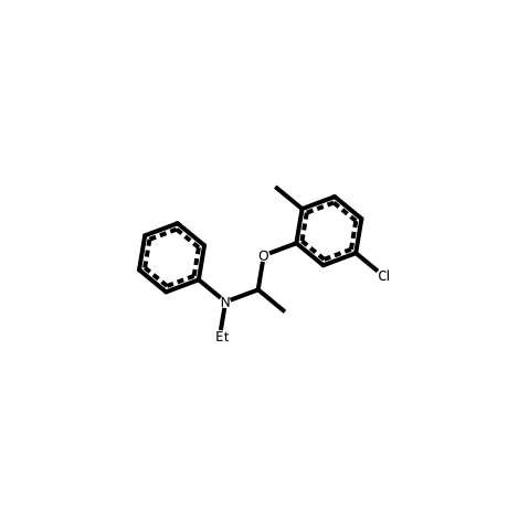 CCN(c1ccccc1)C(C)Oc1cc(Cl)ccc1C